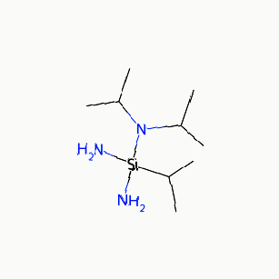 CC(C)N(C(C)C)[Si](N)(N)C(C)C